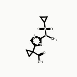 CN(c1nc(C2(C(=O)O)CC2)cs1)S(=O)(=O)C1CC1